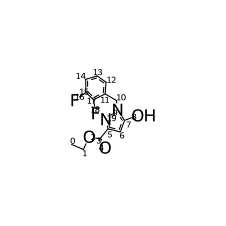 CCOC(=O)c1cc(O)n(Cc2cccc(F)c2F)n1